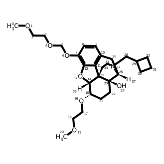 COCCOCOc1ccc2c3c1O[C@H]1[C@@H](OCCOC)CC[C@@]4(O)[C@@H](C2)N(CC2CCC2)CC[C@]314